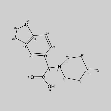 CN1CCN(C(C(=O)O)c2ccc3c(c2)CCO3)CC1